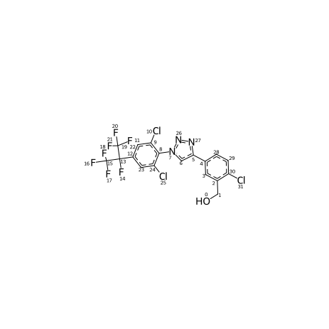 OCc1cc(-c2cn(-c3c(Cl)cc(C(F)(C(F)(F)F)C(F)(F)F)cc3Cl)nn2)ccc1Cl